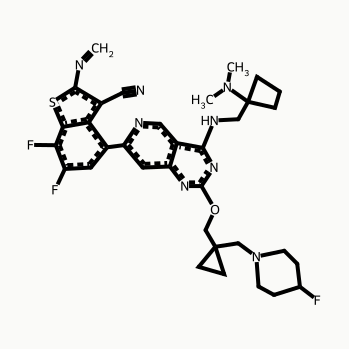 C=Nc1sc2c(F)c(F)cc(-c3cc4nc(OCC5(CN6CCC(F)CC6)CC5)nc(NCC5(N(C)C)CCC5)c4cn3)c2c1C#N